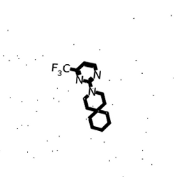 FC(F)(F)c1ccnc(N2CCC3(CCCCC3)CC2)n1